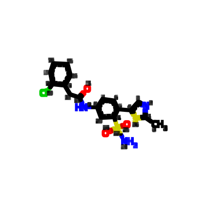 Cc1ncc(-c2ccc(NC(=O)Cc3ccccc3Cl)cc2S(N)(=O)=O)s1